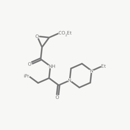 CCOC(=O)C1OC1C(=O)NC(CC(C)C)C(=O)N1CCN(CC)CC1